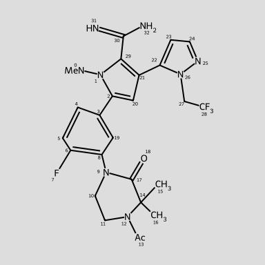 CNn1c(-c2ccc(F)c(N3CCN(C(C)=O)C(C)(C)C3=O)c2)cc(-c2ccnn2CC(F)(F)F)c1C(=N)N